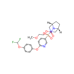 COCCOC(=O)N1[C@@H]2CC[C@H]1CN(S(=O)(=O)c1ccc(Oc3ccc(OC(F)F)cc3)nc1)C2